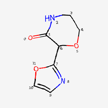 O=C1NCCO[C]1c1ncco1